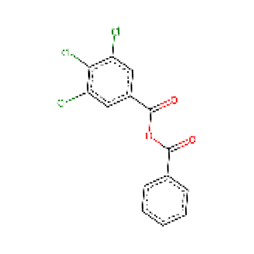 O=C(OC(=O)c1cc(Cl)c(Cl)c(Cl)c1)c1ccccc1